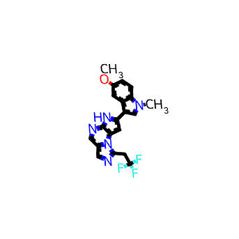 COc1ccc2c(c1)c(-c1cc3c(ncc4cnc(CC(F)(F)F)n43)[nH]1)cn2C